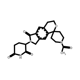 CC(=O)N1CCC2(CC1)OCCc1cc3c(cc12)CN(C1CCC(=O)NC1=O)C3=O